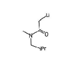 [Li][CH2]C(=O)N(C)CC(C)C